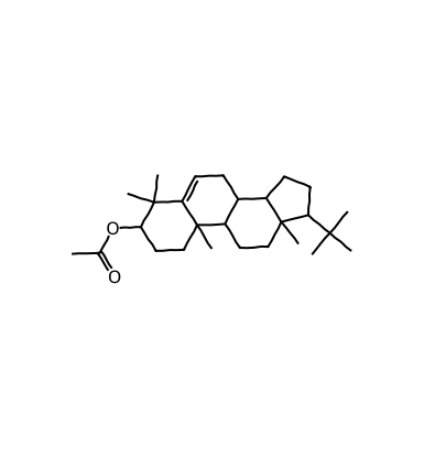 CC(=O)OC1CCC2(C)C(=CCC3C2CCC2(C)C3CCC2C(C)(C)C)C1(C)C